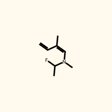 C=C/C(C)=C\N(C)C(C)F